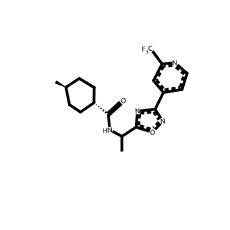 CC(NC(=O)[C@H]1CC[C@H](C)CC1)c1nc(-c2ccnc(C(F)(F)F)c2)no1